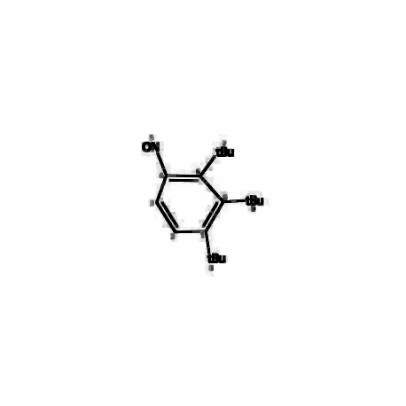 CC(C)(C)c1ccc(N=O)c(C(C)(C)C)c1C(C)(C)C